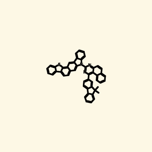 CC1(C)c2ccccc2-c2ccc(-c3nc(-n4c5ccccc5c5cc6c(ccc7c8ccccc8sc67)cc54)nc4ccc5ccccc5c34)cc21